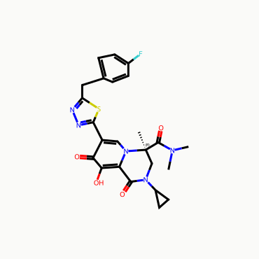 CN(C)C(=O)[C@@]1(C)CN(C2CC2)C(=O)c2c(O)c(=O)c(-c3nnc(Cc4ccc(F)cc4)s3)cn21